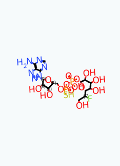 Nc1ncnc2c1nnn2[C@@H]1O[C@H](COP(=O)(S)OP(=O)(O)OC2OC([C@@H](F)CO)C(O)C(O)C2O)[C@@H](O)[C@H]1O